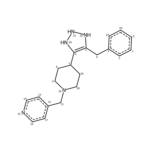 c1ccc(CC2=C(C3CCN(Cc4ccncc4)CC3)NNN2)cc1